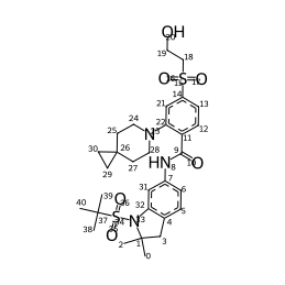 CC1(C)Cc2ccc(NC(=O)c3ccc(S(=O)(=O)CCO)cc3N3CCC4(CC3)CC4)cc2N1S(=O)(=O)C(C)(C)C